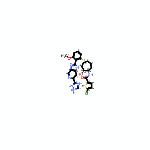 COc1cccc(F)c1-c1nc2cnc(-c3nc[nH]n3)cc2n1[C@@H]1CCCC[C@H](NC(=O)c2ccc(Cl)s2)[C@H]1O